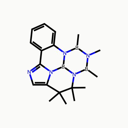 CB1N(C)B(C)N2B3N1c1ccccc1-c1ncc(n13)C(C)(C)C2(C)C